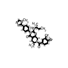 C=C[C@@H](C)Nc1nc2c(c(=O)n1-c1ccc(-c3nncn3C)cc1)C[C@@H](C)N(C(=O)c1ccc(Br)c(C(F)(F)F)c1)C2